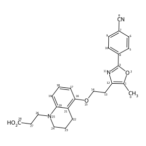 Cc1oc(-c2ccc(C#N)cc2)nc1CCOc1cccc2c1CCCN2CCC(=O)O